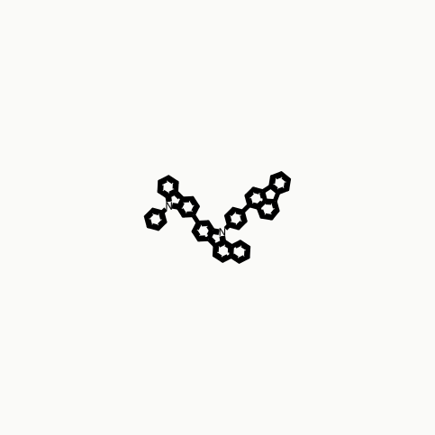 c1ccc(-n2c3ccccc3c3ccc(-c4ccc5c6ccc7ccccc7c6n(-c6ccc(-c7ccc8c9c(cccc79)-c7ccccc7-8)cc6)c5c4)cc32)cc1